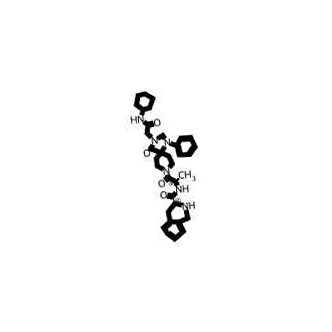 C[C@@H](NC(=O)[C@H]1Cc2ccccc2CN1)C(=O)N1CCC2(CC1)C(=O)N(CC(=O)NC1CCCCC1)CN2c1ccccc1